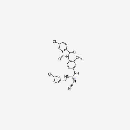 Cc1cc(N/C(=N/C#N)NCc2ccc(Cl)s2)ccc1N1C(=O)c2ccc(Cl)cc2C1=O